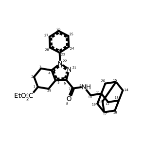 CCOC(=O)C1CCc2c(c(C(=O)NCC34CC5CC(CC(C5)C3)C4)nn2-c2ccccc2)C1